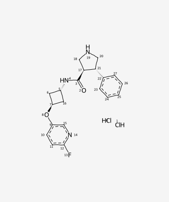 Cl.Cl.O=C(N[C@H]1C[C@H](Oc2ccc(F)nc2)C1)[C@H]1CNC[C@@H]1c1ccccc1